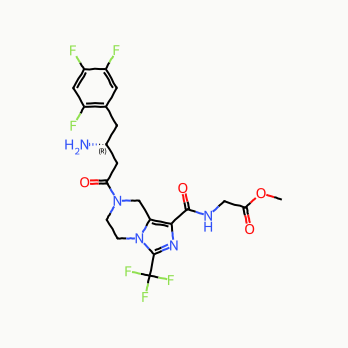 COC(=O)CNC(=O)c1nc(C(F)(F)F)n2c1CN(C(=O)C[C@H](N)Cc1cc(F)c(F)cc1F)CC2